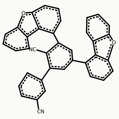 N#Cc1cccc(-c2cc(-c3cccc4oc5ccccc5c34)cc(-c3cccc4oc5ccccc5c34)c2C#N)c1